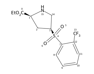 CCOC(=O)[C@@H]1C[C@H](S(=O)(=O)c2ccccc2C(F)(F)F)CN1